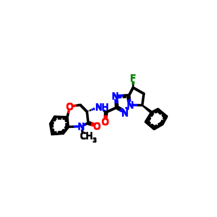 CN1C(=O)[C@@H](NC(=O)c2nc3n(n2)[C@H](c2ccccc2)C[C@@H]3F)COc2ccccc21